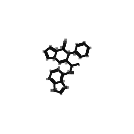 CC(Nc1ncnc2[nH]cnc12)c1cn2cccc2c(=O)n1-c1ccccc1